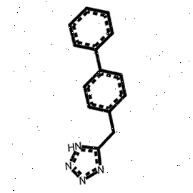 [CH](c1ccc(-c2ccccc2)cc1)c1nnn[nH]1